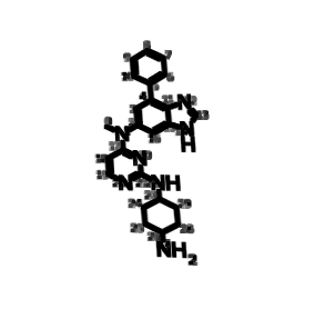 CN(c1cc(-c2ccccc2)c2nc[nH]c2c1)c1ccnc(NC2CCC(N)CC2)n1